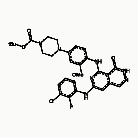 COc1cc(N2CCN(C(=O)OC(C)(C)C)CC2)ccc1Nc1nc(Nc2cccc(Cl)c2F)cc2cn[nH]c(=O)c12